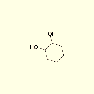 OC1CCCCC1O